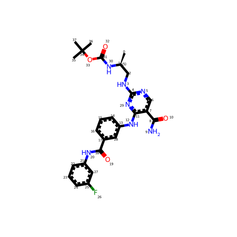 C[C@@H](CNc1ncc(C(N)=O)c(Nc2cccc(C(=O)Nc3cccc(F)c3)c2)n1)NC(=O)OC(C)(C)C